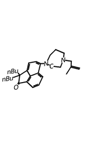 C=C(C)CN1CCCN(c2ccc3c4c(cccc24)C(=O)C3(CCCC)CCCC)CC1